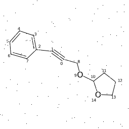 C(#Cc1ccccc1)COC1CCCO1